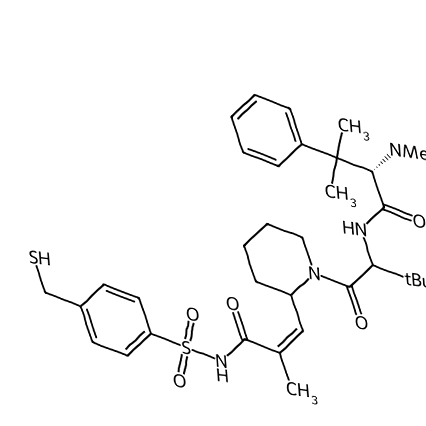 CN[C@H](C(=O)NC(C(=O)N1CCCCC1C=C(C)C(=O)NS(=O)(=O)c1ccc(CS)cc1)C(C)(C)C)C(C)(C)c1ccccc1